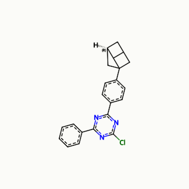 Clc1nc(-c2ccccc2)nc(-c2ccc(C34CC5C[C@H](C3)C54)cc2)n1